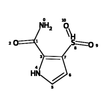 NC(=O)c1[nH]ccc1[SH](=O)=O